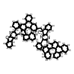 CC1(Cc2ccc3c(c2)c2ccccc2c2ccc4c(c23)c2c3ccccc3ccc2n4-c2nc3c(nc2-c2ccccc2)oc2ccccc23)c2ccccc2-c2nc(-n3c4ccc5ccccc5c4c4c5c6ccccc6c6ccccc6c5ccc43)c(-c3ccccc3)nc21